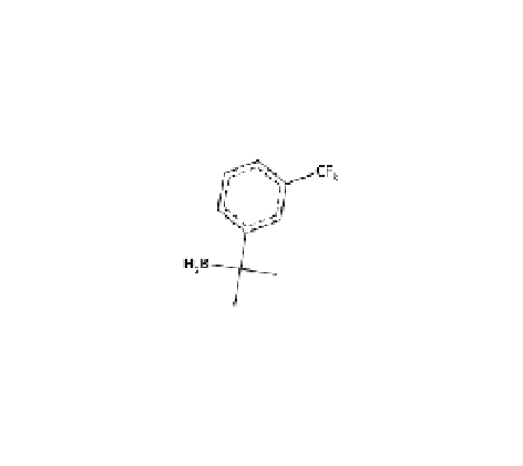 BC(C)(C)c1cccc(C(F)(F)F)c1